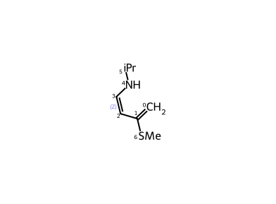 C=C(/C=C\NC(C)C)SC